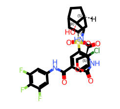 O=C1N[C@H](C(=O)NC[C@@]2(O)C3CC[C@H]2C[C@H](S(=O)(=O)c2cc(C(=O)Nc4cc(F)c(F)c(F)c4)ccc2Cl)C3)CO1